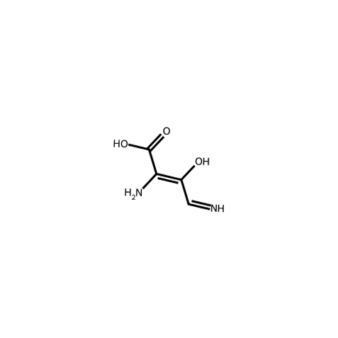 N=C/C(O)=C(\N)C(=O)O